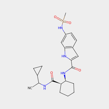 CS(=O)(=O)Nc1ccc2cc(C(=O)N[C@H]3CCCC[C@H]3C(=O)NC(C#N)C3CC3)[nH]c2c1